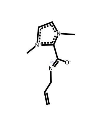 C=CC/N=C(\[O-])c1n(C)cc[n+]1C